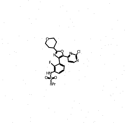 CCCS(=O)(=O)Nc1cccc(-c2nc(C3CCOCC3)oc2-c2ccnc(Cl)n2)c1F